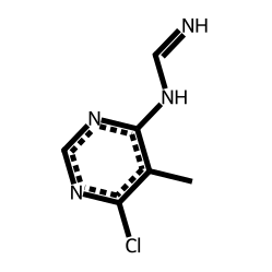 Cc1c(Cl)ncnc1NC=N